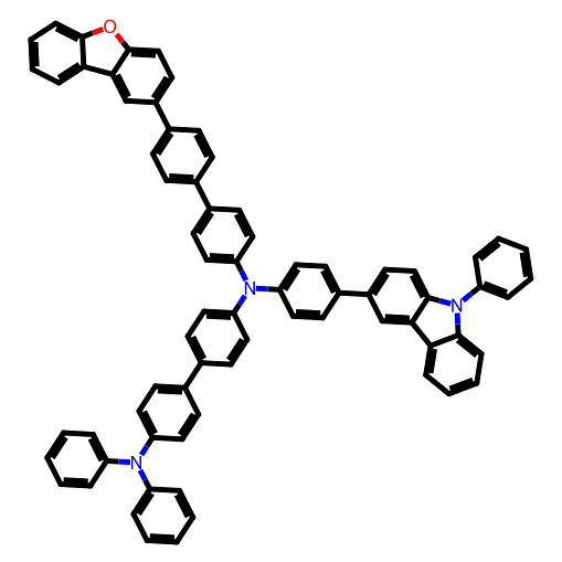 c1ccc(N(c2ccccc2)c2ccc(-c3ccc(N(c4ccc(-c5ccc(-c6ccc7oc8ccccc8c7c6)cc5)cc4)c4ccc(-c5ccc6c(c5)c5ccccc5n6-c5ccccc5)cc4)cc3)cc2)cc1